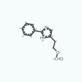 O=COCCc1cnc(-c2ccccc2)[nH]1